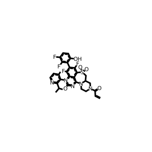 C=CC(=O)N1CCN2c3nc(=O)n(-c4c(C)ccnc4C(C)C)c4c(F)c(-c5c(O)ccc(F)c5F)c(F)c(c34)S(=O)(=O)CC2C1